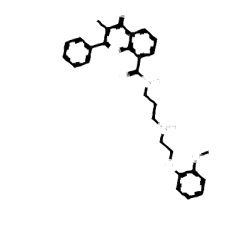 COc1ccccc1OCCNCCCNC(=O)c1cccc2c(=O)c(C)c(-c3ccccc3)oc12